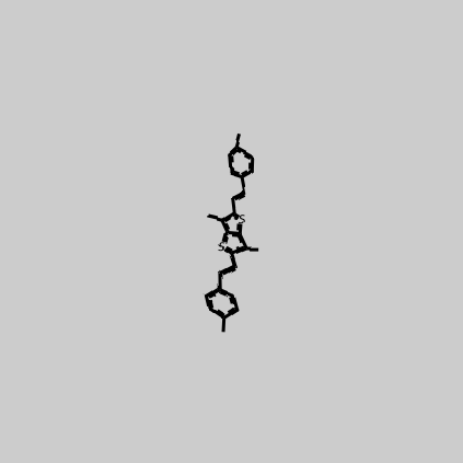 Cc1ccc(C=Cc2sc3c(C)c(C=Cc4ccc(C)cc4)sc3c2C)cc1